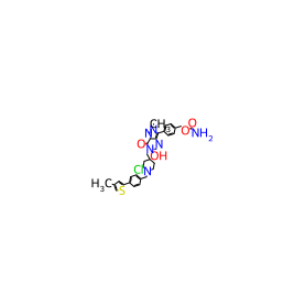 Cc1csc(-c2ccc(CN3CCC(O)(Cn4cnc5c(-c6ccc(COC(N)=O)cc6)n(C)nc5c4=O)CC3)c(Cl)c2)c1